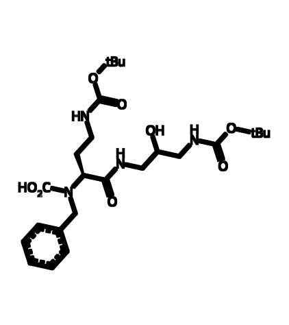 CC(C)(C)OC(=O)NCC[C@@H](C(=O)NCC(O)CNC(=O)OC(C)(C)C)N(Cc1ccccc1)C(=O)O